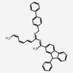 C\C=C/C=C\C=C\C(=N\Cc1ccc(-c2ccccc2)cc1)\N=C(/N)c1ccc2c(c1)C(c1ccccc1)c1ccccc1-2